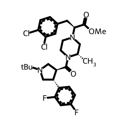 COC(=O)[C@H](Cc1ccc(Cl)c(Cl)c1)N1CCN(C(=O)[C@@H]2CN(C(C)(C)C)C[C@H]2c2ccc(F)cc2F)[C@@H](C)C1